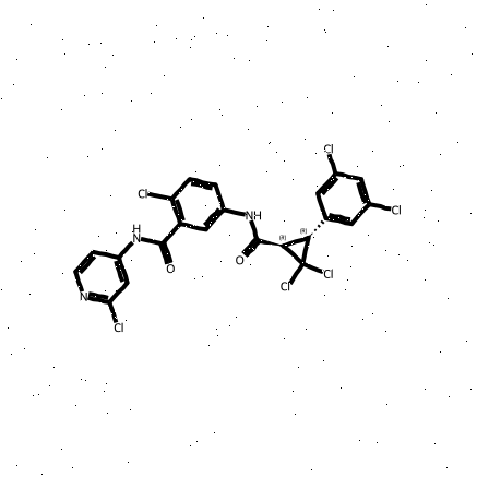 O=C(Nc1ccnc(Cl)c1)c1cc(NC(=O)[C@H]2[C@H](c3cc(Cl)cc(Cl)c3)C2(Cl)Cl)ccc1Cl